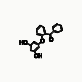 O=C(c1ccccc1)c1ccccc1Oc1cc(O)cc(O)c1